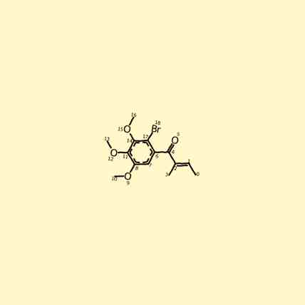 C/C=C(\C)C(=O)c1cc(OC)c(OC)c(OC)c1Br